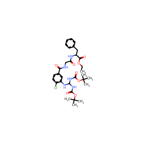 CCOC(=O)C(Cc1ccccc1)NC(=O)CNC(=O)c1ccc(Cl)c(NC(NC(=O)OC(C)(C)C)NC(=O)OC(C)(C)C)c1